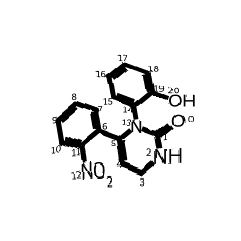 O=C1NCC=C(c2ccccc2[N+](=O)[O-])N1c1ccccc1O